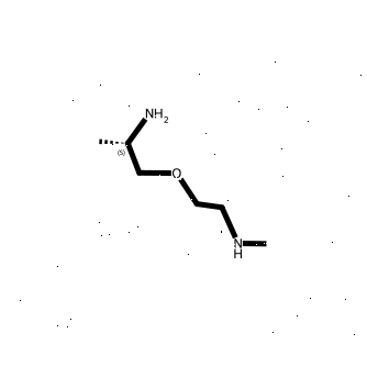 CNCCOC[C@H](C)N